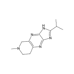 CC(C)c1nc2nc3c(nc2[nH]1)CN(C)CC3